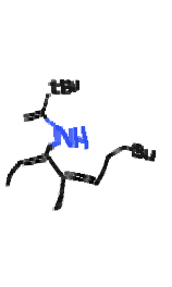 C=C(NC(=C/C)/C(C)=C\CC(C)(C)C)C(C)(C)C